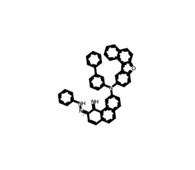 N=C1/C(=N\Nc2ccccc2)C=Cc2ccc3ccc(N(c4cccc(-c5ccccc5)c4)c4ccc5oc6ccc7ccccc7c6c5c4)cc3c21